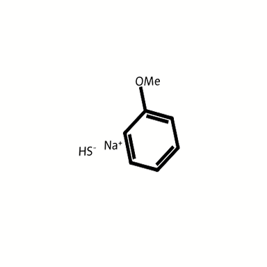 COc1ccccc1.[Na+].[SH-]